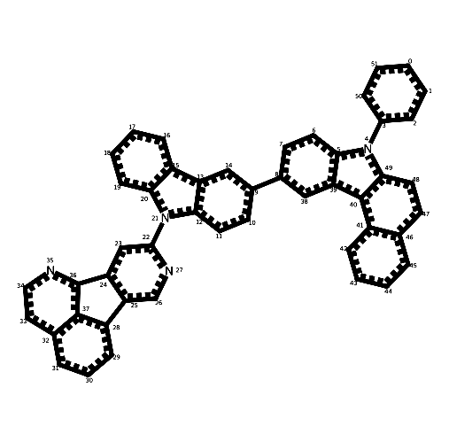 c1ccc(-n2c3ccc(-c4ccc5c(c4)c4ccccc4n5-c4cc5c(cn4)-c4cccc6ccnc-5c46)cc3c3c4ccccc4ccc32)cc1